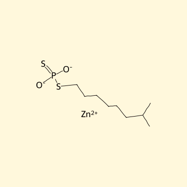 CC(C)CCCCCCSP([O-])([O-])=S.[Zn+2]